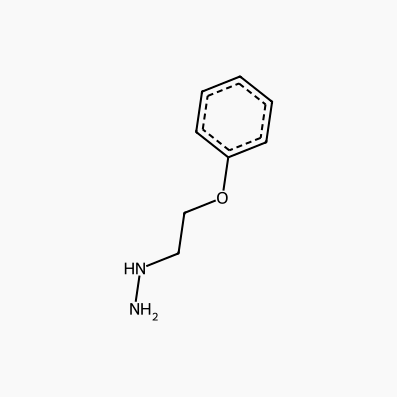 NNCCOc1ccccc1